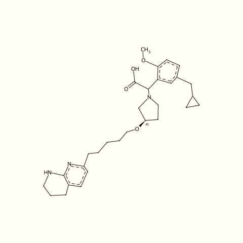 COc1ccc(CC2CC2)cc1C(C(=O)O)N1CC[C@@H](OCCCCCc2ccc3c(n2)NCCC3)C1